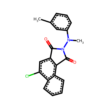 Cc1cccc(N(C)N2C(=O)c3cc(Cl)c4ccccc4c3C2=O)c1